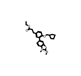 CCOC(=O)CCc1ccc(OCC2CCCC2)c(-c2ccc3c(c2)s/c(=N/C)n3C)c1